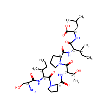 CC[C@H](C)[C@H](NC(=O)[C@@H]1CCCN1C(=O)[C@@H](NC(=O)[C@@H]1CCCN1C(=O)[C@@H](NC(=O)[C@@H](N)CO)[C@@H](C)CC)[C@@H](C)O)C(=O)N[C@@H](CC(C)C)C(=O)O